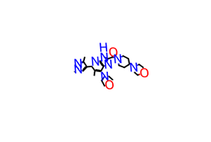 Cc1nn(C)cc1-c1nc2[nH]c(C(=O)N3CCC(N4CCOCC4)CC3)nc2c(N2CCOCC2)c1C